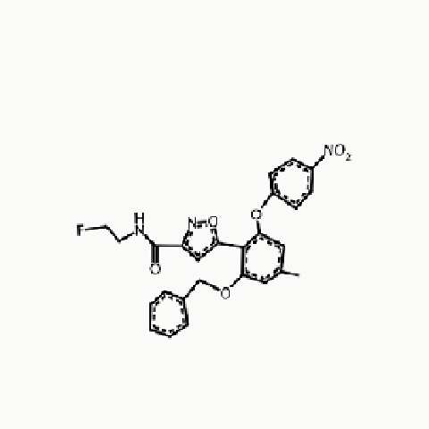 Cc1cc(OCc2ccccc2)c(-c2cc(C(=O)NCCF)no2)c(Oc2ccc([N+](=O)[O-])cc2)c1